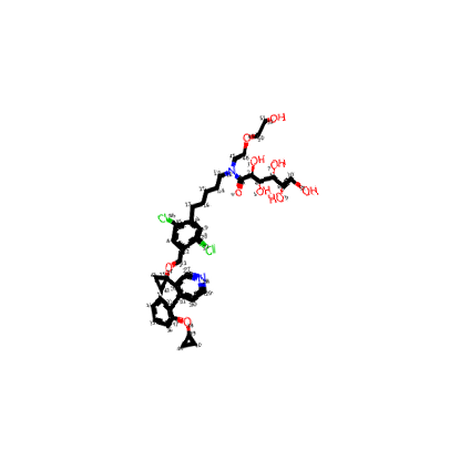 O=C([C@@H](O)[C@@H](O)[C@H](O)[C@@H](O)CO)N(CCCCCc1cc(Cl)c(COC2(c3cnccc3-c3ccccc3OC3CC3)CC2)cc1Cl)CCOCCO